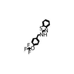 FC(F)(F)Oc1ccc(CNc2nc3ccccc3s2)cc1